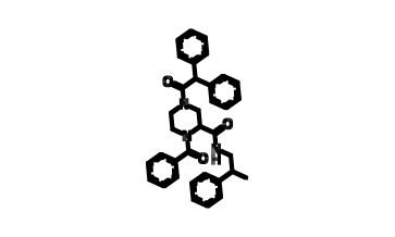 CC(CNC(=O)C1CN(C(=O)C(c2ccccc2)c2ccccc2)CCN1C(=O)c1ccccc1)c1ccccc1